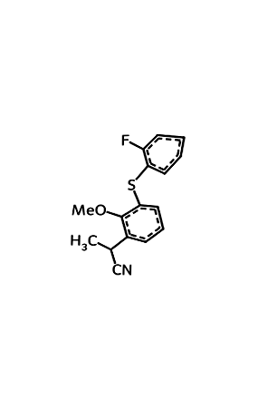 COc1c(Sc2ccccc2F)cccc1C(C)C#N